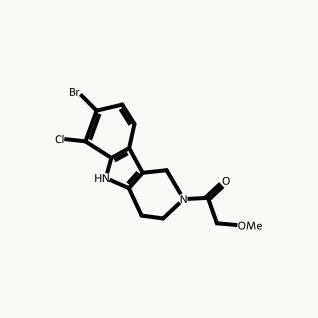 COCC(=O)N1CCc2[nH]c3c(Cl)c(Br)ccc3c2C1